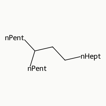 [CH2]CCCCC(CCCCC)CCCCCCCCC